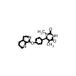 Cc1c(-c2ccc(Oc3nccc4cccnc34)cc2)n(C)c(=O)[nH]c1=O